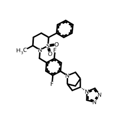 CC1CCC(c2ccccc2)S(=O)(=O)N1Cc1cc(F)c(N2CC3CC2C[C@H]3n2cnnc2)cc1F